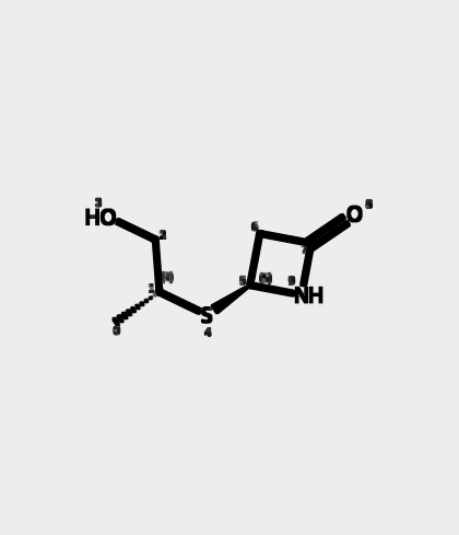 C[C@H](CO)S[C@H]1CC(=O)N1